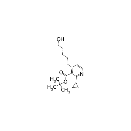 CC(C)(C)OC(=O)c1c(CCCCCO)ccnc1C1CC1